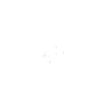 CC(C)Br.CCOCC.[MgH2]